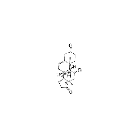 C[C@]12CCC(=O)CC1=CC[C@@H]1[C@H]2C(=O)C[C@]2(C)C(=O)CC[C@@H]12